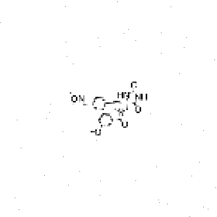 CON=Cc1ccc(C#C[C@@]2(CN3Cc4ccc(OC)cc4C3=O)NC(=O)NC2=O)cc1